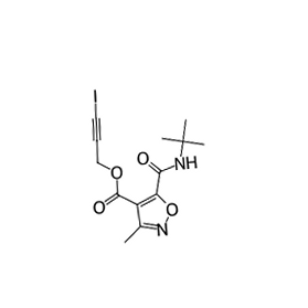 Cc1noc(C(=O)NC(C)(C)C)c1C(=O)OCC#CI